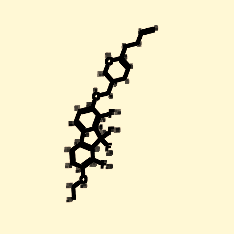 C=CCCC1=CCC(COc2ccc3c(c2F)C(F)(F)c2c-3ccc(OCC)c2F)CO1